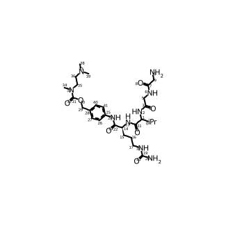 CC(C)C(NC(=O)CNC(=O)CN)C(=O)N[C@@H](CCCNC(N)=O)C(=O)Nc1ccc(COC(=O)N(C)CCN(C)C)cc1